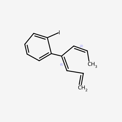 C=C/C=C(\C=C/C)c1ccccc1I